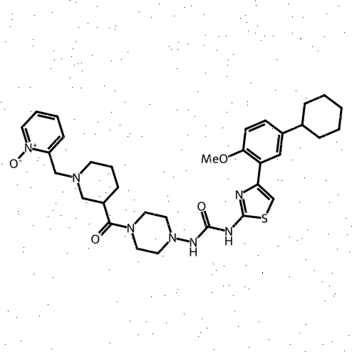 COc1ccc(C2CCCCC2)cc1-c1csc(NC(=O)NN2CCN(C(=O)C3CCCN(Cc4cccc[n+]4[O-])C3)CC2)n1